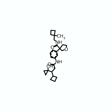 CC1(CNC(=O)C2(c3cccc(NC(=O)CC(C4CCC4)C4(C)CC4)c3)CCOC2)CCC1